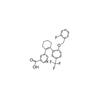 O=C(O)c1cncc(C2=C(c3cc(C(F)(F)F)ccc3OCc3ccccc3F)CCCC2)c1